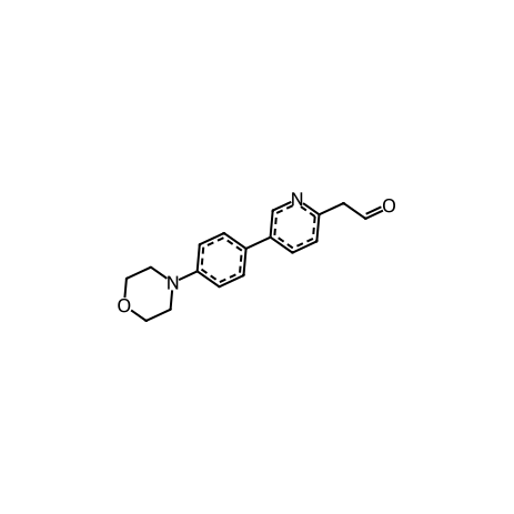 O=CCc1ccc(-c2ccc(N3CCOCC3)cc2)cn1